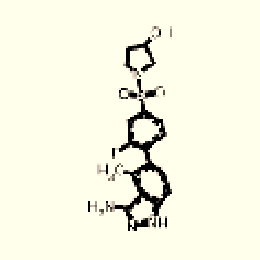 Cc1c(-c2ccc(S(=O)(=O)N3CCC(O)C3)cc2F)ccc2[nH]nc(N)c12